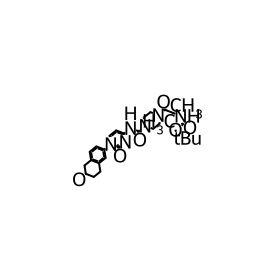 CC(C)(C)OC(=O)NC(C)(C)C(=O)N1CCN(C(=O)Nc2ccn(-c3ccc4c(c3)CCC(=O)C4)c(=O)n2)CC1